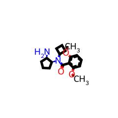 COc1cccc(OC)c1C(=O)N(C1CCC1)[C@H]1CCC[C@H]1N